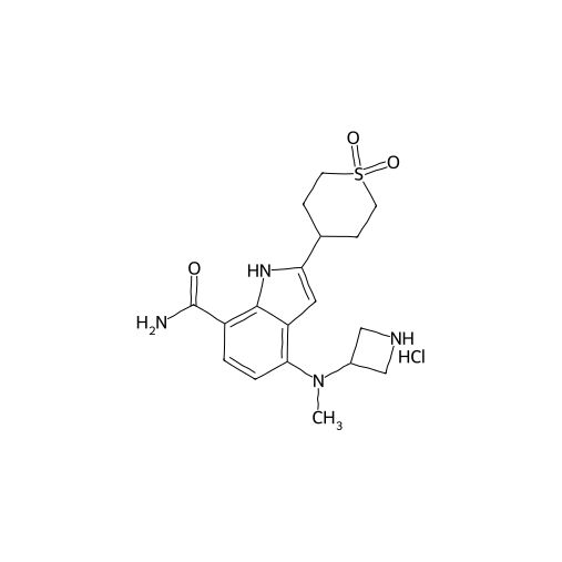 CN(c1ccc(C(N)=O)c2[nH]c(C3CCS(=O)(=O)CC3)cc12)C1CNC1.Cl